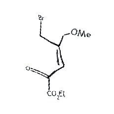 CCOC(=O)C(=O)C=C(CBr)OC